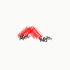 [Ce+3].[Nd+3].[OH-].[OH-].[OH-].[OH-].[OH-].[OH-].[OH-].[OH-].[OH-].[OH-].[OH-].[OH-].[OH-].[Pr+3].[Zr+4]